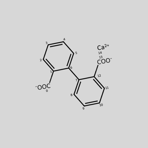 O=C([O-])c1ccccc1-c1ccccc1C(=O)[O-].[Ca+2]